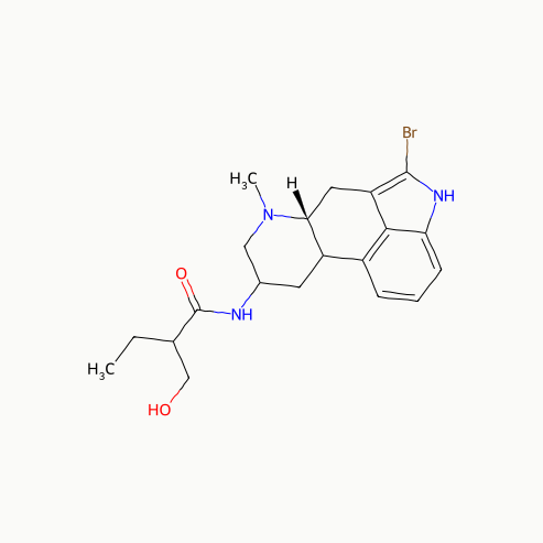 CCC(CO)C(=O)NC1CC2c3cccc4[nH]c(Br)c(c34)C[C@H]2N(C)C1